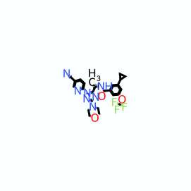 C[C@H](NC(=O)c1cc(OC(F)(F)F)cc(C2CC2)c1)c1nc(N2CCOCC2)nn1-c1ccc(C#N)cn1